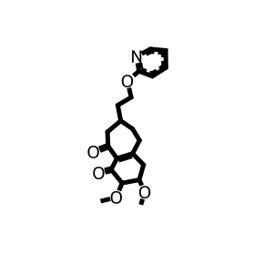 COC1CC2=C(C(=O)CC(CCOc3ccccn3)CC2)C(=O)C1OC